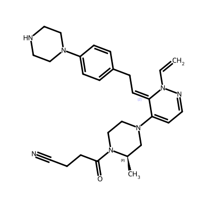 C=CN1N=CC=C(N2CCN(C(=O)CCC#N)[C@H](C)C2)/C1=C/Cc1ccc(N2CCNCC2)cc1